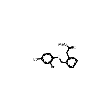 CCc1ccc(OCc2ccccc2CC(=O)OC)c(Br)c1